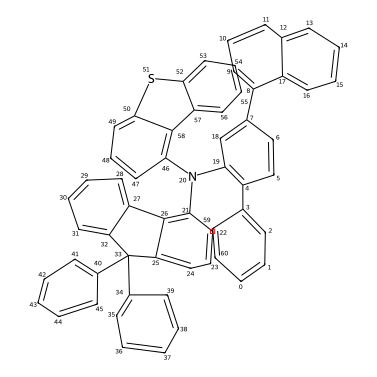 c1ccc(-c2ccc(-c3cccc4ccccc34)cc2N(c2cccc3c2-c2ccccc2C3(c2ccccc2)c2ccccc2)c2cccc3sc4ccccc4c23)cc1